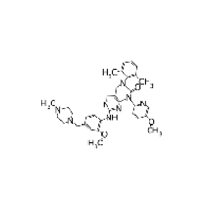 COc1ccc(N2C(=O)N(c3c(C)cccc3C)Cc3cnc(Nc4ccc(CN5CCN(C)CC5)cc4OC)nc32)nc1